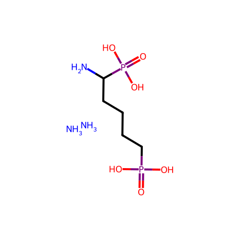 N.N.NC(CCCCP(=O)(O)O)P(=O)(O)O